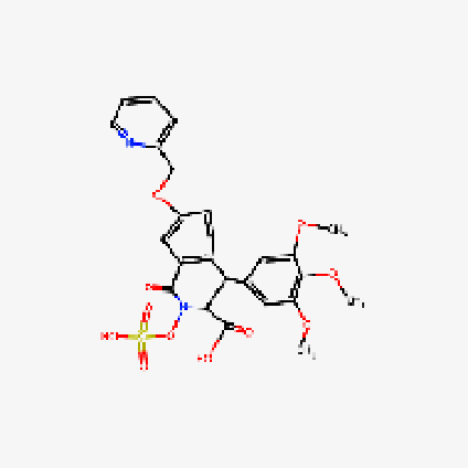 COc1cc(C2c3ccc(OCc4ccccn4)cc3C(=O)N(OS(=O)(=O)O)C2C(=O)O)cc(OC)c1OC